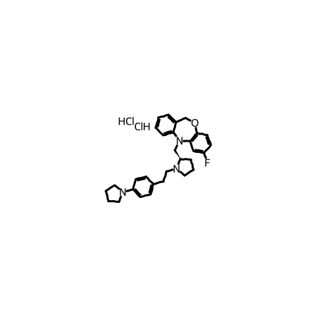 Cl.Cl.Fc1ccc2c(c1)N(C[C@H]1CCCN1CCc1ccc(N3CCCC3)cc1)c1ccccc1CO2